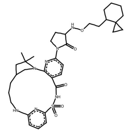 CC1(C)CC2CCCNc3cccc(n3)S(=O)(=O)NC(=O)c3ccc(N4CCC(NOCCC5CCCCC56CC6)C4=O)nc3N1C2